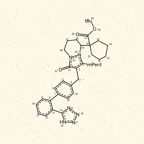 CCCCCc1c(Cc2ccc(-c3ccccc3-c3nnn[nH]3)cc2)c(=O)n2n1C(C1(C(=O)OC(C)(C)C)CCCCC1)CCC2